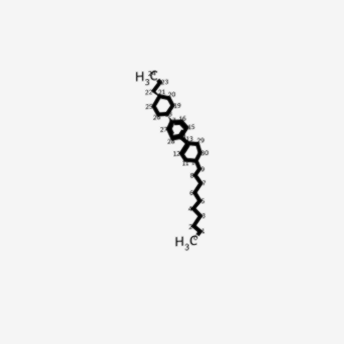 CCCCCCCCCCC1CC=C(c2ccc([C@H]3CC[C@H](CCC)CC3)cc2)CC1